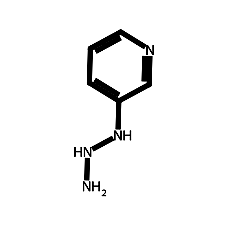 NNNc1cccnc1